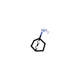 NC12CCC(CC1)CC2